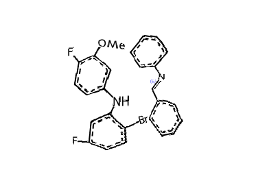 C(=N\c1ccccc1)/c1ccccc1.COc1cc(Nc2cc(F)ccc2Br)ccc1F